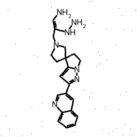 N/C=C(/CN1CCC2(CCn3nc(-c4cnc5ccccc5c4)cc32)C1)NN